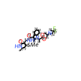 CSc1cc(C)[nH]c(=O)c1CNC(=O)c1c(C)n(C(C)C2OCC(N3CC(F)(F)C3)CO2)c2ccccc12